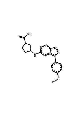 CC(C)Oc1ccc(-n2nnc3cnc(N[C@@H]4CC[C@@H](C(N)=O)C4)nc32)cc1